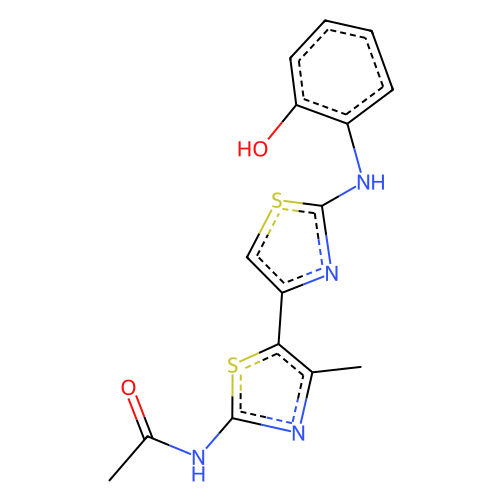 CC(=O)Nc1nc(C)c(-c2csc(Nc3ccccc3O)n2)s1